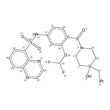 CC(C)CC1(O)CCN(C(=O)c2ccc(NS(=O)(=O)c3cccc4nccnc34)cc2OC(F)F)CC1